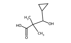 CC(C)(C(=O)O)C(O)C1CC1